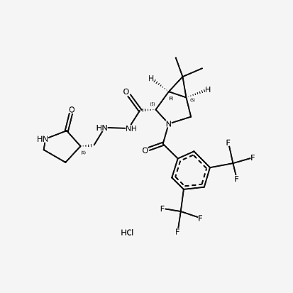 CC1(C)[C@@H]2[C@@H](C(=O)NNC[C@@H]3CCNC3=O)N(C(=O)c3cc(C(F)(F)F)cc(C(F)(F)F)c3)C[C@@H]21.Cl